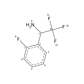 NC(c1ccccc1F)C(F)(F)F